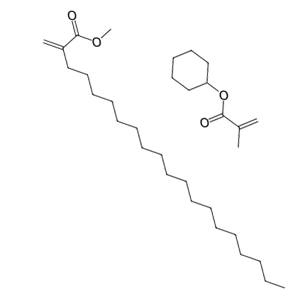 C=C(C)C(=O)OC1CCCCC1.C=C(CCCCCCCCCCCCCCCCCC)C(=O)OC